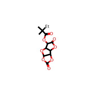 CCC(C)(C)C(=O)OC1C(=O)OC2C3OC(=O)OC3OC12